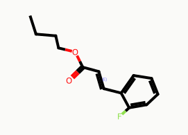 CCCCOC(=O)/C=C/c1ccccc1F